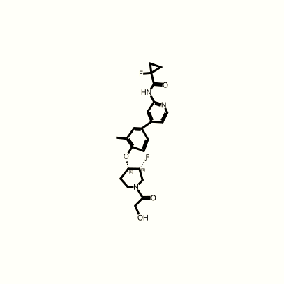 Cc1cc(-c2ccnc(NC(=O)C3(F)CC3)c2)ccc1O[C@H]1CCN(C(=O)CO)C[C@H]1F